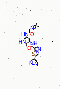 CC1NC=C(NC(=O)CN2CC(C)(C)C2)C=C1NC(=O)c1cnn2cc(-c3cncnc3)sc12